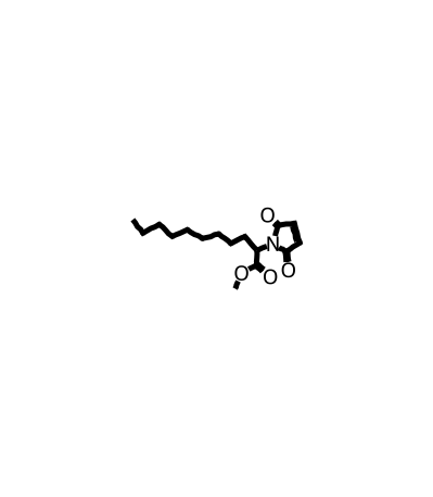 CCCCCCCCCC(C(=O)OC)N1C(=O)C=CC1=O